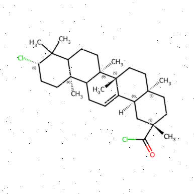 CC1(C)C2CC[C@]3(C)C(CC=C4[C@@H]5C[C@@](C)(C(=O)Cl)CC[C@]5(C)CC[C@]43C)[C@@]2(C)CC[C@@H]1Cl